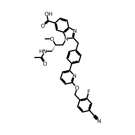 CO[C@@H](CNC(C)=O)Cn1c(Cc2ccc(-c3cccc(OCc4ccc(C#N)cc4F)n3)cc2)nc2ccc(C(=O)O)cc21